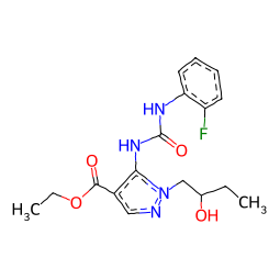 CCOC(=O)c1cnn(CC(O)CC)c1NC(=O)Nc1ccccc1F